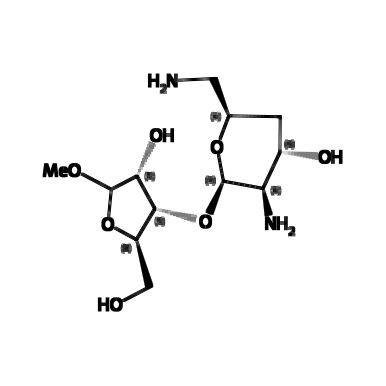 COC1O[C@H](CO)[C@@H](O[C@H]2O[C@@H](CN)C[C@H](O)[C@H]2N)[C@H]1O